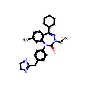 Cc1ccc2c(c1)N(c1ccc(CC3=NCCN3)cc1)C(=O)N(CC(C)(C)C)N=C2C1CCCCC1